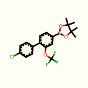 CC1(C)OB(c2ccc(-c3ccc(Cl)cc3)c(OC(F)(F)F)c2)OC1(C)C